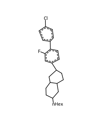 CCCCCCC1CCC2CC(c3ccc(-c4ccc(Cl)cc4)c(F)c3)CCC2C1